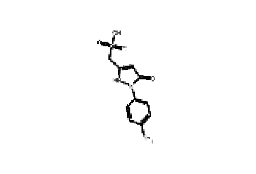 Nc1ccc(-n2[nH]c(CS(=O)(=O)O)cc2=O)cc1